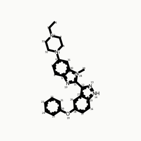 CCN1CCN(c2ccc3nc(-c4n[nH]c5ccc(Oc6ccccc6)cc45)n(C)c3c2)CC1